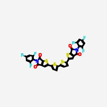 O=C1c2cc(-c3ccc(-c4ccc(-c5cc6c(s5)C(=O)N(c5c(F)cc(F)cc5F)C6=O)s4)s3)sc2C(=O)N1c1c(F)cc(F)cc1F